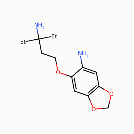 CCC(N)(CC)CCOc1cc2c(cc1N)OCO2